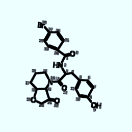 O=C(NC(Cc1ccc(O)cc1)C(=O)N1CCCC2OCC(=O)C21)c1ccc(Br)cc1